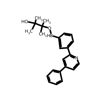 CC(C)(O)C(C)(C)OBc1cccc(-c2cc(-c3ccccc3)ccn2)c1